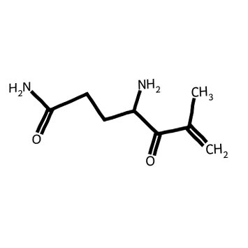 C=C(C)C(=O)C(N)CCC(N)=O